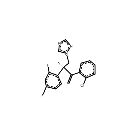 C=C(c1ccccc1Cl)[C@](C)(Cn1cncn1)c1ccc(F)cc1F